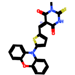 CN1C(=O)/C(=C/c2ccc(N3c4ccccc4Oc4ccccc43)s2)C(=O)NC1=S